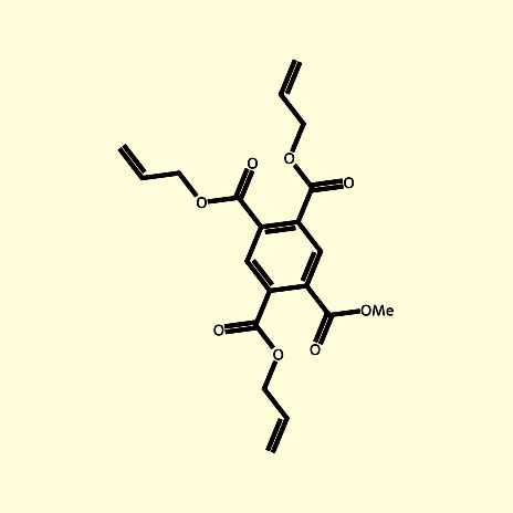 C=CCOC(=O)c1cc(C(=O)OCC=C)c(C(=O)OCC=C)cc1C(=O)OC